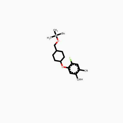 COc1cc(OC2CCC(CO[Si](C)(C)C(C)(C)C)CC2)c(F)cc1C#N